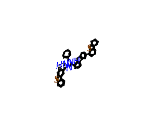 CCc1cc2sc3ccccc3c2cc1C1N=C(c2cc#cc3c2Cc2ccc(-c4cccc5c4sc4ccccc45)cc2-3)NC(C2=CC=CCC=C2)N1